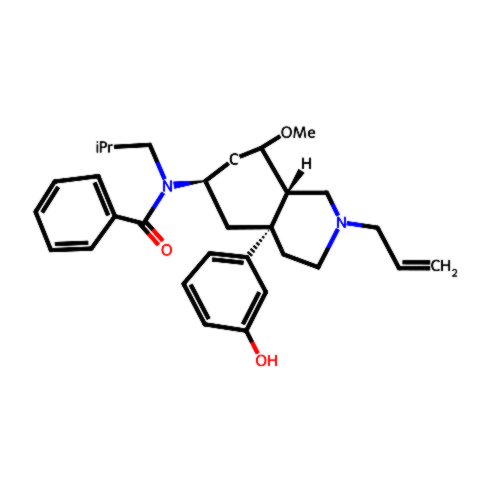 C=CCN1CC[C@@]2(c3cccc(O)c3)C[C@@H](N(CC(C)C)C(=O)c3ccccc3)CC(OC)[C@@H]2C1